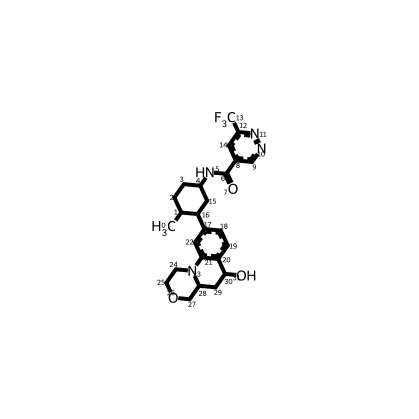 CC1CCC(NC(=O)c2cnnc(C(F)(F)F)c2)CC1c1ccc2c(c1)N1CCOCC1CC2O